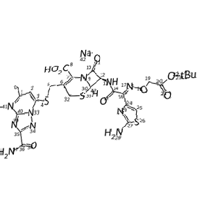 Cc1cc(SCC2=C(C(=O)O)N3C(=O)[C@@H](NC(=O)C(=NOCC(=O)OC(C)(C)C)c4csc(N)n4)[C@H]3SC2)n2nc(C(N)=O)nc2n1.[Na]